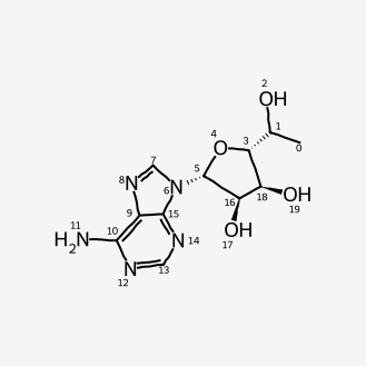 CC(O)[C@H]1O[C@@H](n2cnc3c(N)ncnc32)[C@H](O)[C@@H]1O